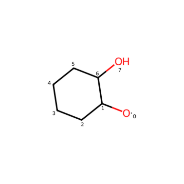 [O]C1CCCCC1O